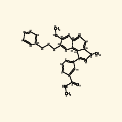 CNC(=O)c1cccc(-c2nn(C)c3cnc4cc(OC)c(CCCc5ccccc5)cc4c23)c1